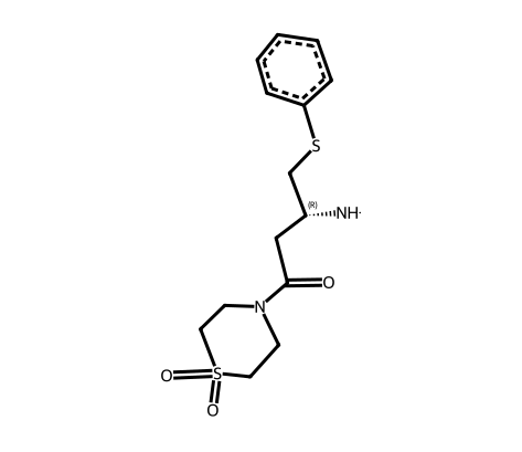 [NH][C@@H](CSc1ccccc1)CC(=O)N1CCS(=O)(=O)CC1